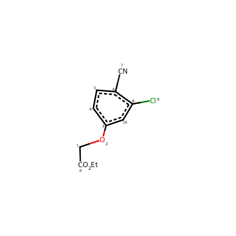 CCOC(=O)COc1ccc(C#N)c(Cl)c1